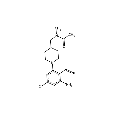 CC(=O)N(C)CC1CCN(c2cc(Cl)cc(N)c2C=N)CC1